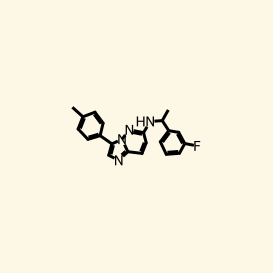 Cc1ccc(-c2cnc3ccc(NC(C)c4cccc(F)c4)nn23)cc1